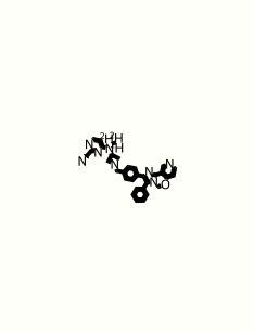 [2H]C([2H])([2H])N(c1ccnc(C#N)n1)C1CN(Cc2ccc(-c3nc4n(c3-c3ccccc3)COc3ccncc3-4)cc2)C1